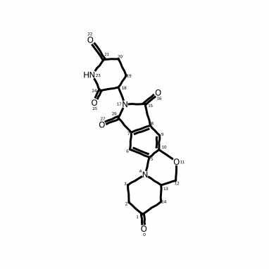 O=C1CCN2c3cc4c(cc3OCC2C1)C(=O)N(C1CCC(=O)NC1=O)C4=O